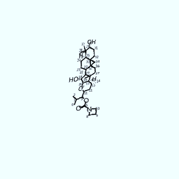 CC(C)C(OC(=O)N1CCC1)C1C[C@@H](C)[C@H]2C(O1)[C@H](O)[C@@]1(C)C3CC[C@H]4C(C)(C)C(O)CCC45CC35CCC21C